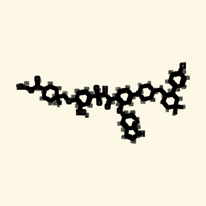 CC1(C)CCC(CN2CCN(c3ccc(C(=O)NS(=O)(=O)c4ccc(OCC5(F)CCN(C(=O)OC(C)(C)C)CC5)c([N+](=O)[O-])c4)c(Oc4cnc5[nH]ccc5c4)c3)CC2)=C(c2ccc(Cl)cc2)C1